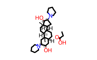 CCC(=O)O.C[C@]12C[C@H](N3CCCCC3)[C@@H](O)C[C@@H]1CC[C@@H]1[C@@H]2CC[C@]2(C)[C@@H](O)[C@@H](N3CCCCC3)C[C@@H]12